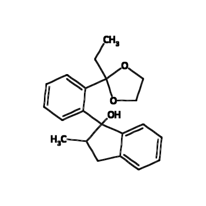 CCC1(c2ccccc2C2(O)c3ccccc3CC2C)OCCO1